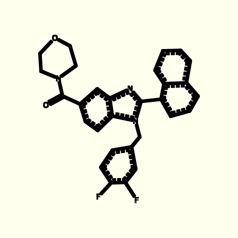 O=C(c1ccc2c(c1)nc(-c1cccc3ccccc13)n2Cc1ccc(F)c(F)c1)N1CCOCC1